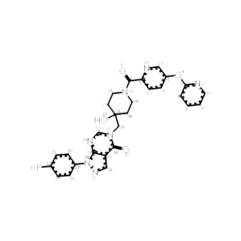 O=C(c1ccc(Oc2ccccn2)cn1)N1CCC(O)(Cn2cnc3c(cnn3-c3ccc(F)cc3)c2=O)CC1